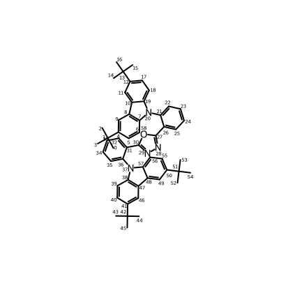 CC(C)(C)c1ccc2c(c1)c1cc(C(C)(C)C)ccc1n2-c1ccccc1-c1nnc(-c2ccccc2-n2c3ccc(C(C)(C)C)cc3c3cc(C(C)(C)C)ccc32)o1